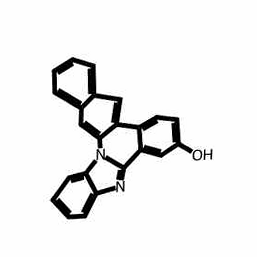 Oc1ccc2c3cc4ccccc4cc3n3c4ccccc4nc3c2c1